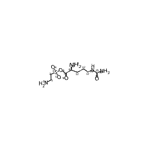 NCCS(=O)(=O)OC(=O)[C@@H](N)CCCNC(N)=O